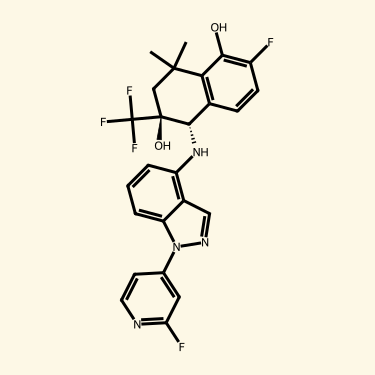 CC1(C)C[C@@](O)(C(F)(F)F)[C@@H](Nc2cccc3c2cnn3-c2ccnc(F)c2)c2ccc(F)c(O)c21